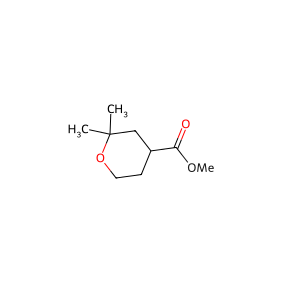 COC(=O)C1CCOC(C)(C)C1